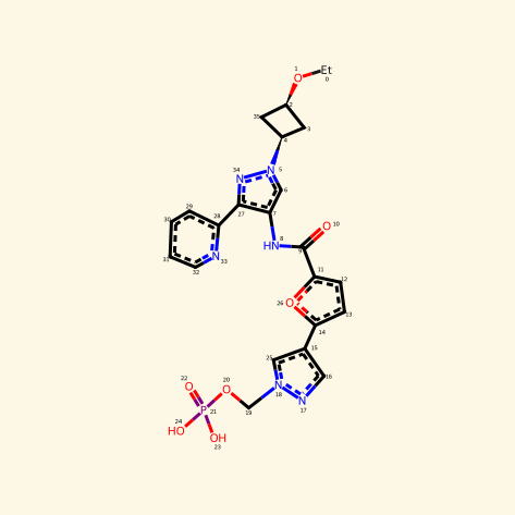 CCO[C@H]1C[C@@H](n2cc(NC(=O)c3ccc(-c4cnn(COP(=O)(O)O)c4)o3)c(-c3ccccn3)n2)C1